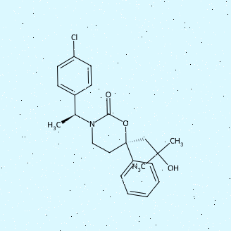 C[C@@H](c1ccc(Cl)cc1)N1CC[C@](CC(C)(C)O)(c2ccccc2)OC1=O